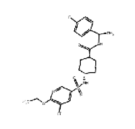 CCOc1ncc(S(=O)(=O)N[C@H]2CC[C@H](C(=O)N[C@H](C)c3ccc(F)cc3)CC2)cc1Cl